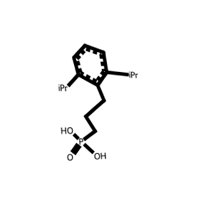 CC(C)c1cccc(C(C)C)c1CCCP(=O)(O)O